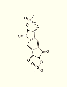 CS(=O)(=O)On1c(=O)c2cc3c(=O)n(OS(C)(=O)=O)c(=O)c3cc2c1=O